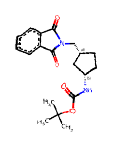 CC(C)(C)OC(=O)N[C@H]1CC[C@@H](CN2C(=O)c3ccccc3C2=O)C1